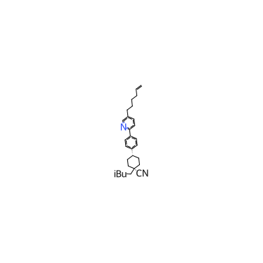 C=CCCCCc1ccc(-c2ccc([C@H]3CC[C@](C#N)(CC(C)CC)CC3)cc2)nc1